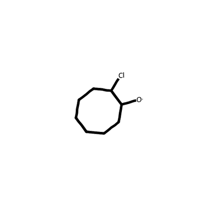 [O]C1CCCCCCC1Cl